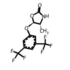 C[C@H]1NC(=O)O[C@@H]1Oc1cc(C(F)(F)F)cc(C(F)(F)F)c1